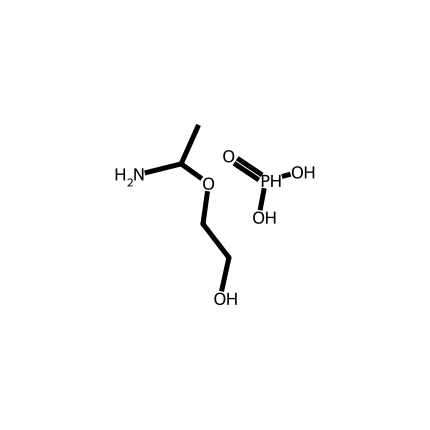 CC(N)OCCO.O=[PH](O)O